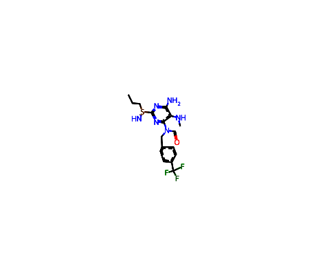 CCCS(=N)c1nc(N)c(NC)c(N(C=O)Cc2ccc(C(F)(F)F)cc2)n1